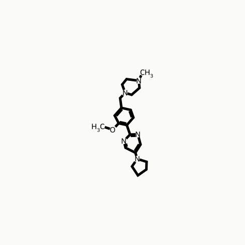 COc1cc(CN2CCN(C)CC2)ccc1-c1ncc(N2CCCC2)cn1